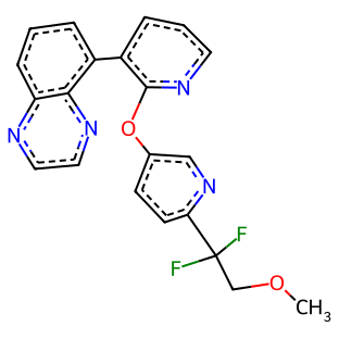 COCC(F)(F)c1ccc(Oc2ncccc2-c2cccc3nccnc23)cn1